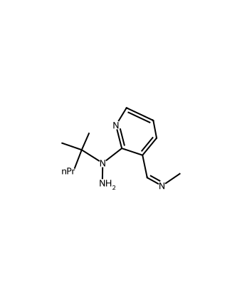 CCCC(C)(C)N(N)c1ncccc1/C=N\C